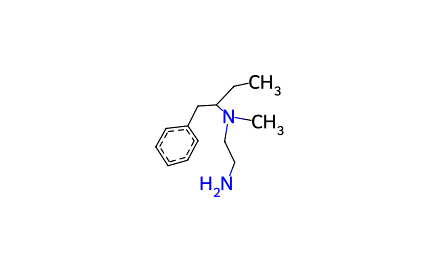 CCC(Cc1ccccc1)N(C)CCN